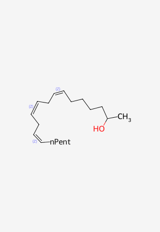 CCCCC/C=C\C/C=C\C/C=C\CCCCC(C)O